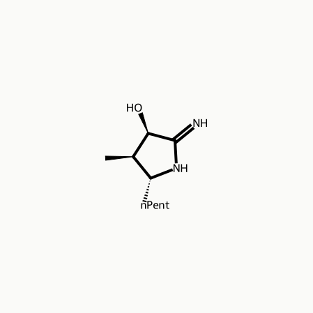 CCCCC[C@H]1NC(=N)[C@H](O)[C@@H]1C